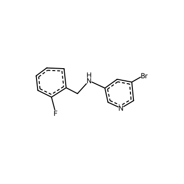 Fc1ccccc1CNc1cncc(Br)c1